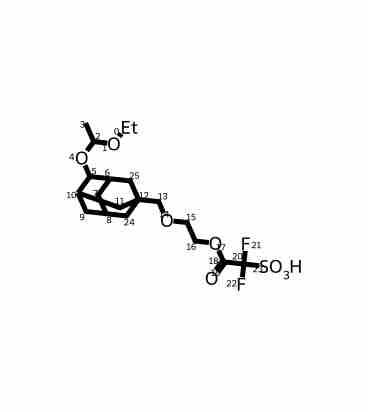 CCOC(C)OC1C2CC3CC1CC(COCCOC(=O)C(F)(F)S(=O)(=O)O)(C3)C2